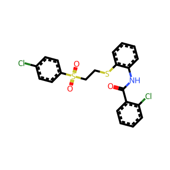 O=C(Nc1ccccc1SCCS(=O)(=O)c1ccc(Cl)cc1)c1ccccc1Cl